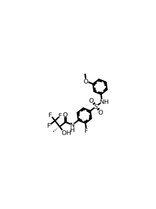 COc1cccc(NS(=O)(=O)c2ccc(NC(=O)[C@@](C)(O)C(F)(F)F)c(F)c2)c1